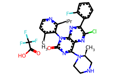 Cc1ccnc(C(C)C)c1-n1c(=O)nc(N2CCNC[C@@H]2C)c2nc(Cl)c(-c3ccccc3F)nc21.O=C(O)C(F)(F)F